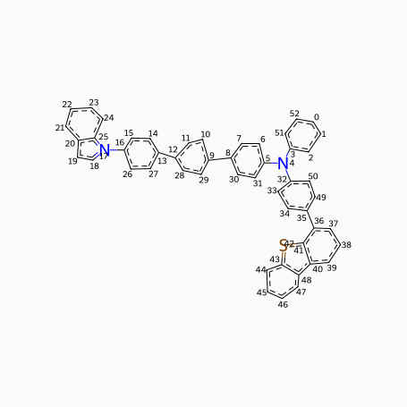 c1ccc(N(c2ccc(-c3ccc(-c4ccc(-n5ccc6ccccc65)cc4)cc3)cc2)c2ccc(-c3cccc4c3sc3ccccc34)cc2)cc1